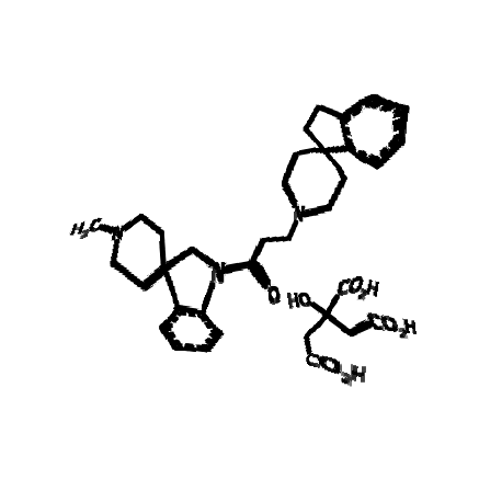 CN1CCC2(CC1)CN(C(=O)CCN1CCC3(CCc4ccccc43)CC1)c1ccccc12.O=C(O)CC(O)(CC(=O)O)C(=O)O